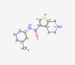 O=C(Nc1cncc(C(F)(F)F)c1)c1csc2c1CCNC2